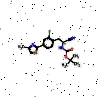 Cc1csc(-c2ccc(C[C@@H](C#N)NC(=O)OC(C)(C)C)c(F)c2)n1